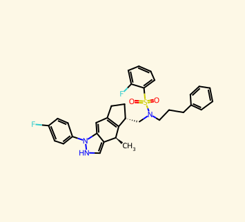 C[C@H]1C2=CNN(c3ccc(F)cc3)C2=CC2=C1[C@@H](CN(CCCc1ccccc1)S(=O)(=O)c1ccccc1F)CC2